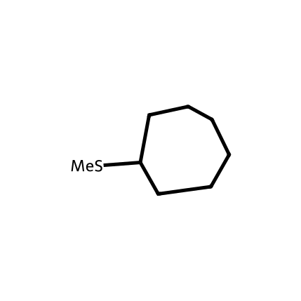 [CH2]SC1CCCCCC1